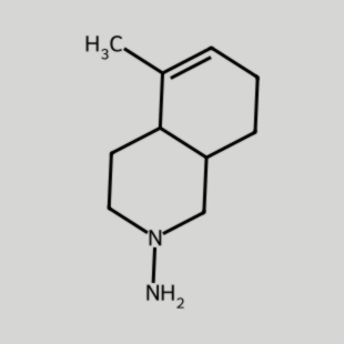 CC1=CCCC2CN(N)CCC12